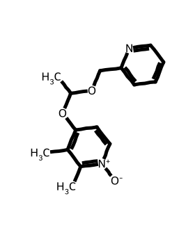 Cc1c(OC(C)OCc2ccccn2)cc[n+]([O-])c1C